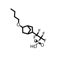 CCCCOC1CC2CC1CC2C(F)(F)C(F)(F)S(=O)(=O)O